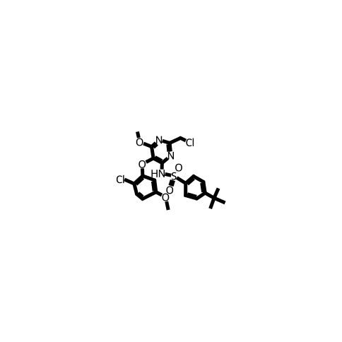 COc1ccc(Cl)c(Oc2c(NS(=O)(=O)c3ccc(C(C)(C)C)cc3)nc(CCl)nc2OC)c1